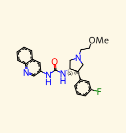 COCCN1C[C@@H](NC(=O)Nc2cnc3ccccc3c2)[C@H](c2cccc(F)c2)C1